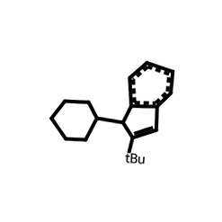 CC(C)(C)C1=Cc2ccccc2C1C1CCCCC1